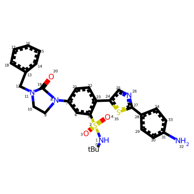 CC(C)(C)NS(=O)(=O)c1cc(N2CCN(Cc3ccccc3)C2=O)ccc1-c1cnc(-c2ccc(N)cc2)s1